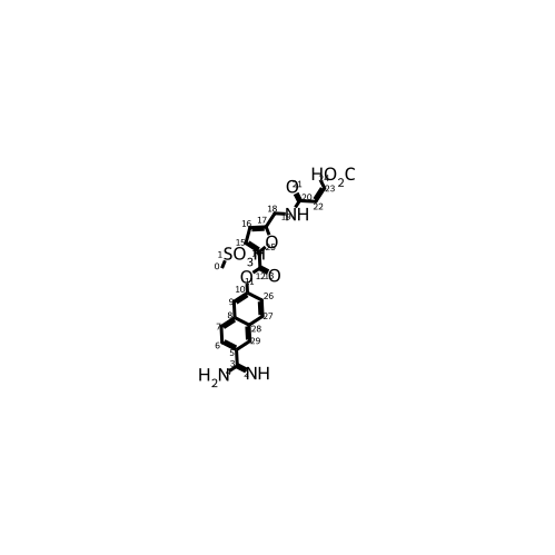 CS(=O)(=O)O.N=C(N)c1ccc2cc(OC(=O)c3ccc(CNC(=O)/C=C\C(=O)O)o3)ccc2c1